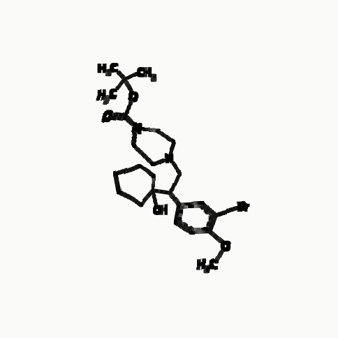 COc1ccc(C(CN2CCN(C(=O)OC(C)(C)C)CC2)C2(O)CCCCC2)cc1Br